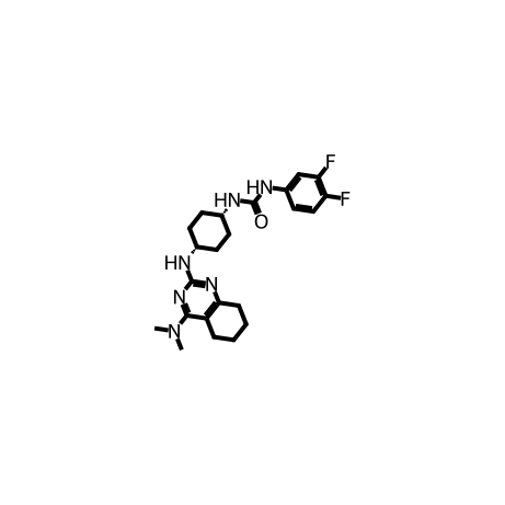 CN(C)c1nc(N[C@H]2CC[C@@H](NC(=O)Nc3ccc(F)c(F)c3)CC2)nc2c1CCCC2